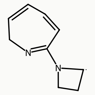 [CH]1CCN1C1=NCC=CC=C1